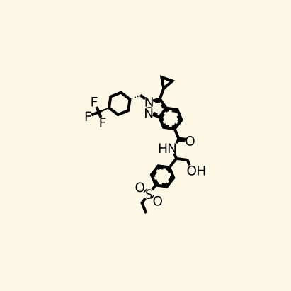 CCS(=O)(=O)c1ccc(C(CO)NC(=O)c2ccc3c(C4CC4)n(C[C@H]4CC[C@H](C(F)(F)F)CC4)nc3c2)cc1